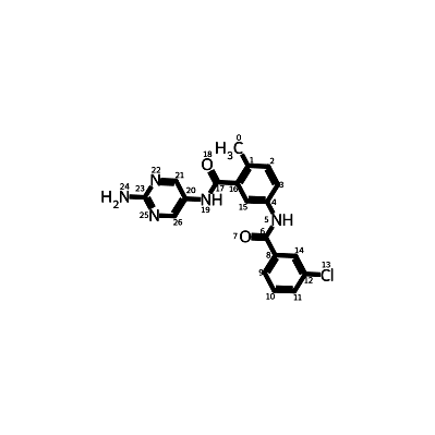 Cc1ccc(NC(=O)c2cccc(Cl)c2)cc1C(=O)Nc1cnc(N)nc1